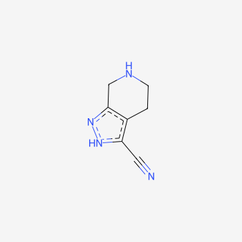 N#Cc1[nH]nc2c1CCNC2